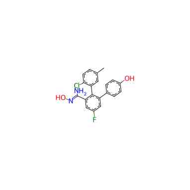 Cc1ccc(Cl)c(-c2c(/C(N)=N/O)cc(F)cc2-c2ccc(O)cc2)c1